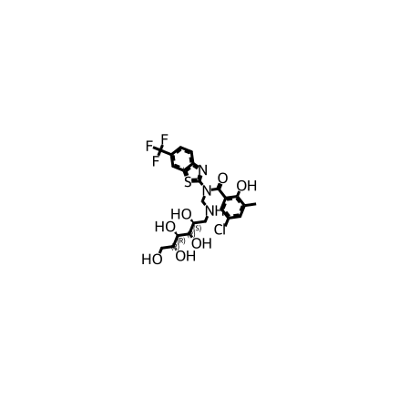 Cc1cc(Cl)cc(C(=O)N(CNC[C@H](O)[C@@H](O)[C@H](O)[C@H](O)CO)c2nc3ccc(C(F)(F)F)cc3s2)c1O